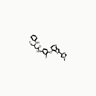 Cn1cnc(-c2cc3nccc(Oc4ccc(NC(=O)CC(CF)Nc5ccccc5)cc4F)c3s2)c1